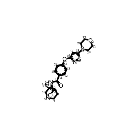 O=C(N[C@H]1CN2CCC1CC2)c1ccc(Oc2cc(N3CCOCC3)sn2)cc1